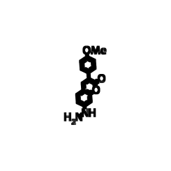 COc1ccc(-c2cc3ccc(NN)cc3oc2=O)cc1